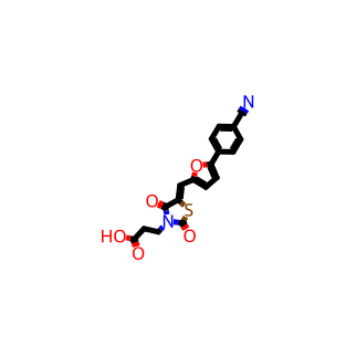 N#Cc1ccc(-c2ccc(/C=C3\SC(=O)N(CCC(=O)O)C3=O)o2)cc1